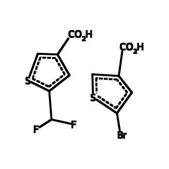 O=C(O)c1csc(Br)c1.O=C(O)c1csc(C(F)F)c1